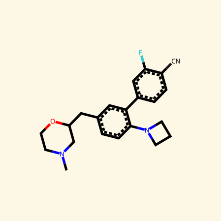 CN1CCOC(Cc2ccc(N3CCC3)c(-c3ccc(C#N)c(F)c3)c2)C1